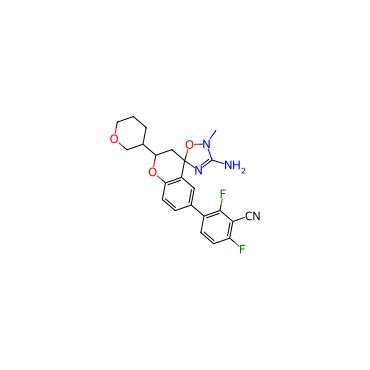 CN1OC2(CC(C3CCCOC3)Oc3ccc(-c4ccc(F)c(C#N)c4F)cc32)N=C1N